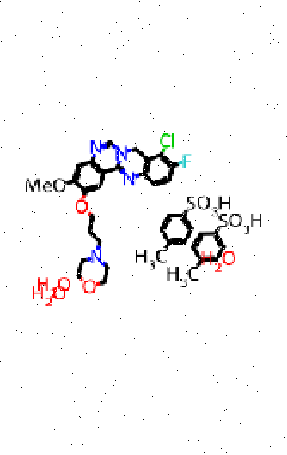 COc1cc2c(cc1OCCCN1CCOCC1)C1=Nc3ccc(F)c(Cl)c3CN1C=N2.Cc1ccc(S(=O)(=O)O)cc1.Cc1ccc(S(=O)(=O)O)cc1.O.O.O